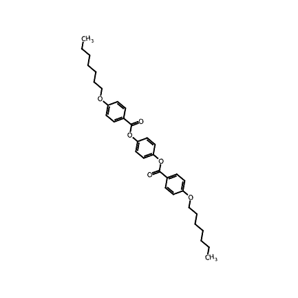 CCCCCCCOc1ccc(C(=O)Oc2ccc(OC(=O)c3ccc(OCCCCCCC)cc3)cc2)cc1